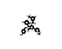 COc1ccc(CN2C(=O)c3nc(-c4ccc5ncnn5c4)cc(NC(=O)c4cc(F)cc(C(F)(F)F)c4)c3C2c2cc(F)ccc2Cl)cc1